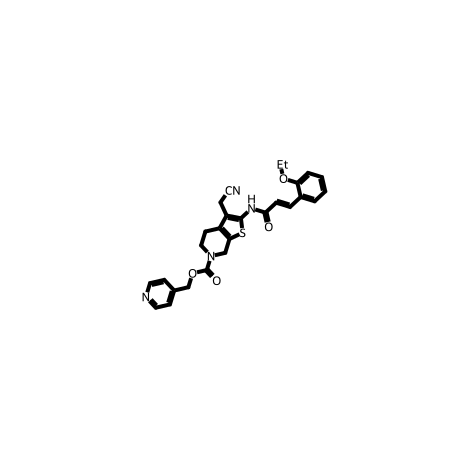 CCOc1ccccc1/C=C/C(=O)Nc1sc2c(c1CC#N)CCN(C(=O)OCc1ccncc1)C2